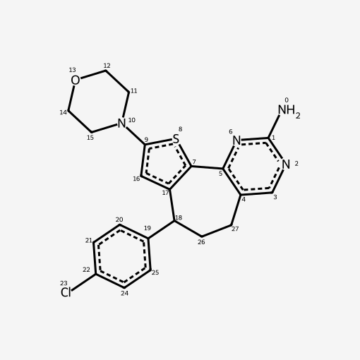 Nc1ncc2c(n1)-c1sc(N3CCOCC3)cc1C(c1ccc(Cl)cc1)CC2